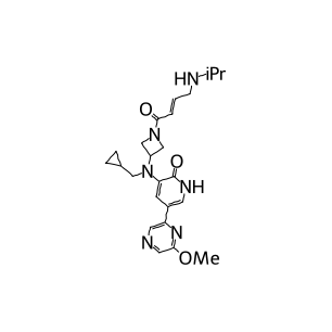 COc1cncc(-c2c[nH]c(=O)c(N(CC3CC3)C3CN(C(=O)C=CCNC(C)C)C3)c2)n1